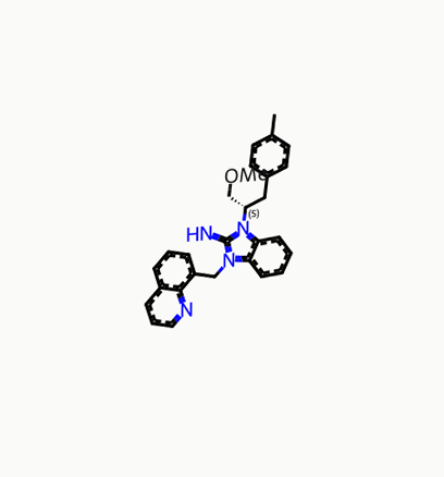 COC[C@H](Cc1ccc(C)cc1)n1c(=N)n(Cc2cccc3cccnc23)c2ccccc21